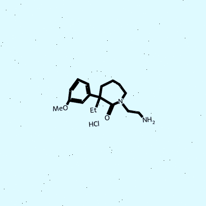 CCC1(c2cccc(OC)c2)CCCCN(CCN)C1=O.Cl